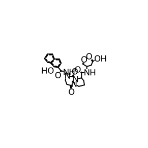 O=CC(CC(=O)O)NC(=O)C1CCCN2C(=O)CCN(NC(=O)c3ccc4ccccc4c3O)C(=O)N12